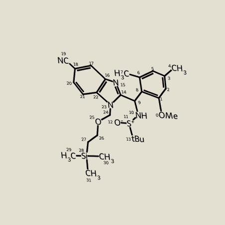 COc1cc(C)cc(C)c1C(N[S+]([O-])C(C)(C)C)c1nc2cc(C#N)ccc2n1COCC[Si](C)(C)C